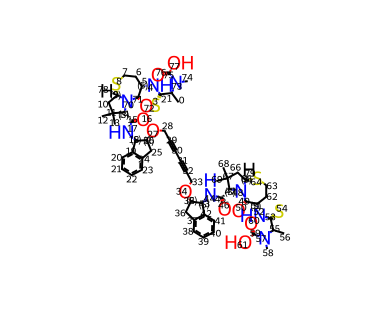 CC(C(=S)N[C@H]1CCS[C@H]2CC(C)(C)[C@@H](C(=O)N[C@H]3c4ccccc4C[C@H]3OCC#CC#CCO[C@@H]3Cc4ccccc4[C@@H]3NC(=O)[C@H]3N4C(=O)[C@@H](NC(=S)C(C)N(C)C(=O)O)CCS[C@H]4CC3(C)C)N2C1=O)N(C)C(=O)O